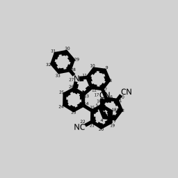 N#Cc1ccccc1-c1cccc2c1c1c(-c3c(C#N)cccc3C#N)cccc1n2-c1ccccc1